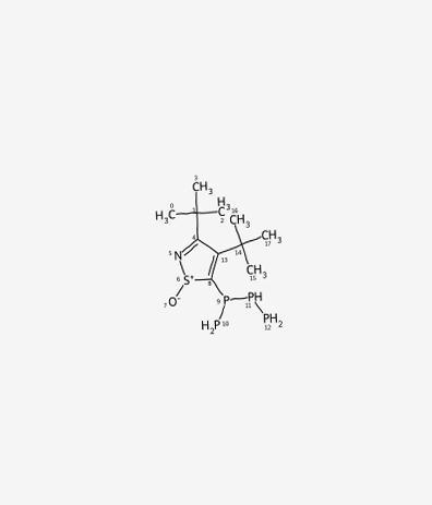 CC(C)(C)c1n[s+]([O-])c(P(P)PP)c1C(C)(C)C